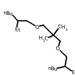 CCCCC(CC)COCC(C)(C)COCC(CC)CCCC